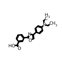 CCN(CC)c1ccc(-c2coc(-c3cccc(C(=O)O)c3)n2)cc1